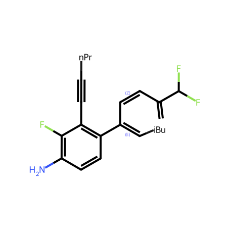 C=C(/C=C\C(=C/C(C)CC)c1ccc(N)c(F)c1C#CCCC)C(F)F